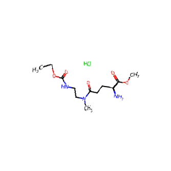 CCOC(=O)NCCN(C)C(=O)CCC(N)C(=O)OC.Cl